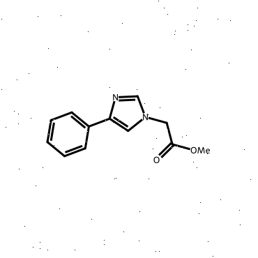 COC(=O)Cn1cnc(-c2ccccc2)c1